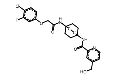 O=C(COc1ccc(Cl)c(F)c1)NC12CCC(NC(=O)c3cc(CO)ccn3)(CC1)CC2